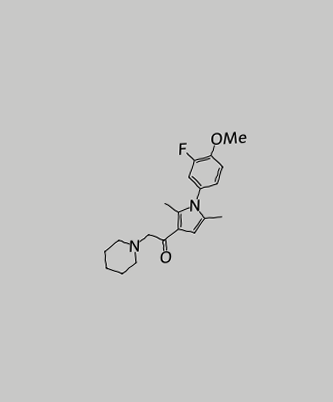 COc1ccc(-n2c(C)cc(C(=O)CN3CCCCC3)c2C)cc1F